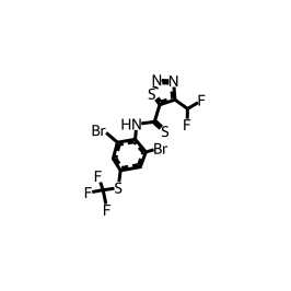 FC(F)c1nnsc1C(=S)Nc1c(Br)cc(SC(F)(F)F)cc1Br